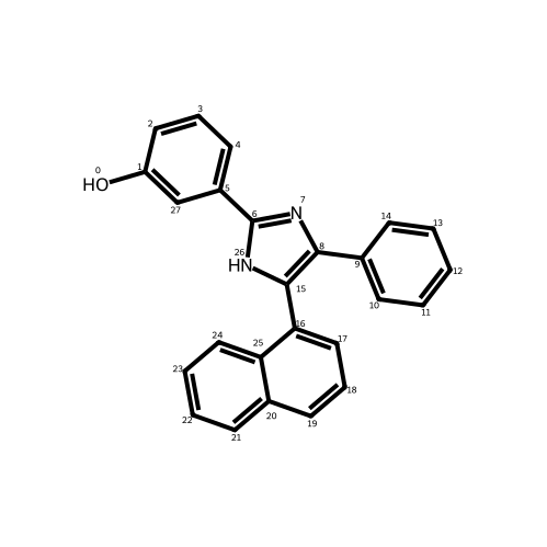 Oc1cccc(-c2nc(-c3ccccc3)c(-c3cccc4ccccc34)[nH]2)c1